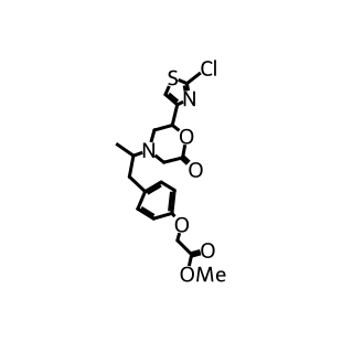 COC(=O)COc1ccc(CC(C)N2CC(=O)OC(c3csc(Cl)n3)C2)cc1